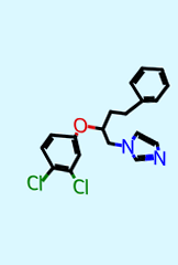 Clc1ccc(OC(CCc2ccccc2)Cn2ccnc2)cc1Cl